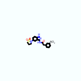 O=C(Cc1cccc([N+](=O)[O-])c1)Nc1n[nH]c2ccc(N3CCCS3(=O)=O)cc12